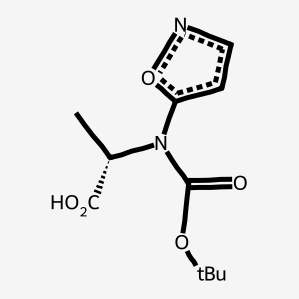 C[C@@H](C(=O)O)N(C(=O)OC(C)(C)C)c1ccno1